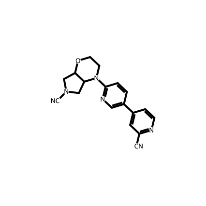 N#Cc1cc(-c2ccc(N3CCOC4CN(C#N)CC43)nc2)ccn1